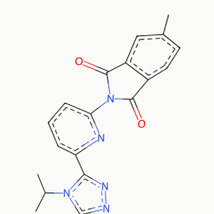 Cc1ccc2c(c1)C(=O)N(c1cccc(-c3nncn3C(C)C)n1)C2=O